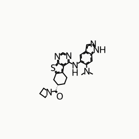 CN(C)c1cc2[nH]ncc2cc1Nc1ncnc2sc3c(c12)CC[C@H](C(=O)N1CCC1)C3